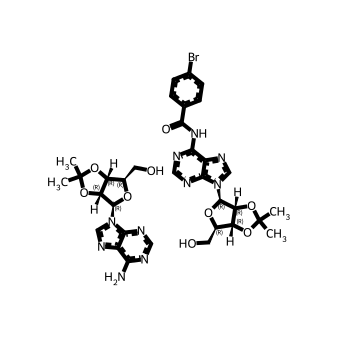 CC1(C)O[C@@H]2[C@H](O1)[C@@H](CO)O[C@H]2n1cnc2c(N)ncnc21.CC1(C)O[C@@H]2[C@H](O1)[C@@H](CO)O[C@H]2n1cnc2c(NC(=O)c3ccc(Br)cc3)ncnc21